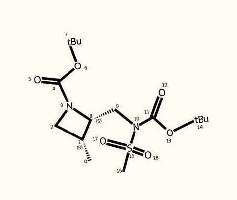 C[C@@H]1CN(C(=O)OC(C)(C)C)[C@@H]1CN(C(=O)OC(C)(C)C)S(C)(=O)=O